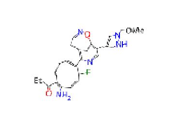 CCC(=O)/C1=C(\N)C=CC(F)C(C2=C3CC=NOC(=C(C4=CN(COC)NC4)C=N2)C3)=CCC1